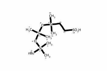 CCCC[Si](C)(C)O[Si](C)(C)O[Si](C)(C)CCS(=O)(=O)O